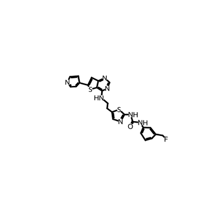 O=C(Nc1cccc(CF)c1)Nc1ncc(CCNc2ncnc3cc(-c4ccncc4)sc23)s1